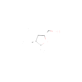 CC(=O)O[C@H]1O[C@H](CO)[C@@H](OC(C)=O)[C@@H]1OC(C)=O